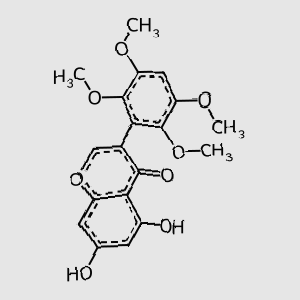 COc1cc(OC)c(OC)c(-c2coc3cc(O)cc(O)c3c2=O)c1OC